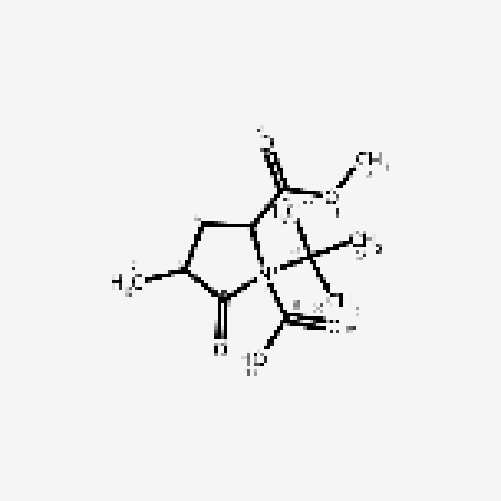 COC(=O)C1CC(C)C(=O)[N+]1(C(=O)O)C(C)(C)C